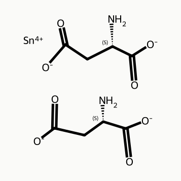 N[C@@H](CC(=O)[O-])C(=O)[O-].N[C@@H](CC(=O)[O-])C(=O)[O-].[Sn+4]